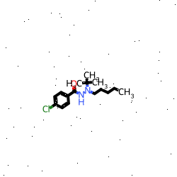 CCCCCN(NC(=O)c1ccc(Cl)cc1)C(C)(C)C